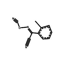 Cc1ccccc1C(C#N)=NOC#N